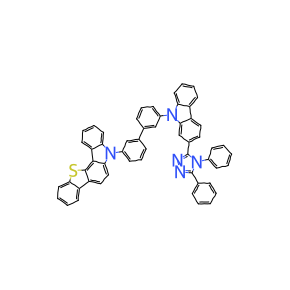 c1ccc(-c2nnc(-c3ccc4c5ccccc5n(-c5cccc(-c6cccc(-n7c8ccccc8c8c9sc%10ccccc%10c9ccc87)c6)c5)c4c3)n2-c2ccccc2)cc1